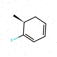 C[C@H]1CC=CC=C1F